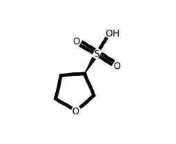 O=S(=O)(O)[C@@H]1CCOC1